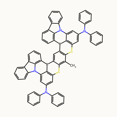 Cc1c2c(cc3c1Sc1cc(N(c4ccccc4)c4ccccc4)cc4c1B3c1cccc3c5ccccc5n-4c13)B1c3c(cc(N(c4ccccc4)c4ccccc4)cc3-n3c4ccccc4c4cccc1c43)S2